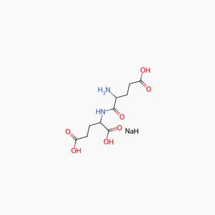 NC(CCC(=O)O)C(=O)NC(CCC(=O)O)C(=O)O.[NaH]